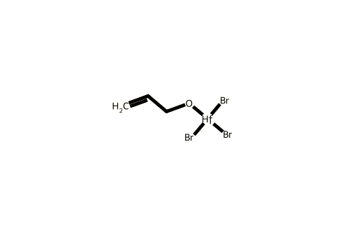 C=CC[O][Hf]([Br])([Br])[Br]